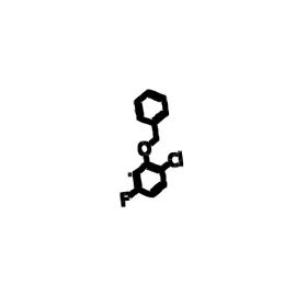 Fc1[c]c(OCc2ccccc2)c(Cl)cc1